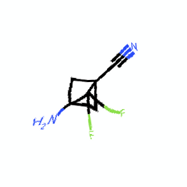 N#CC12CC(N)(C1)C2(F)F